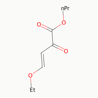 CCCOC(=O)C(=O)C=COCC